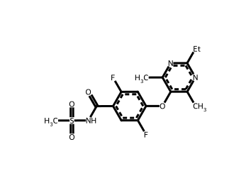 CCc1nc(C)c(Oc2cc(F)c(C(=O)NS(C)(=O)=O)cc2F)c(C)n1